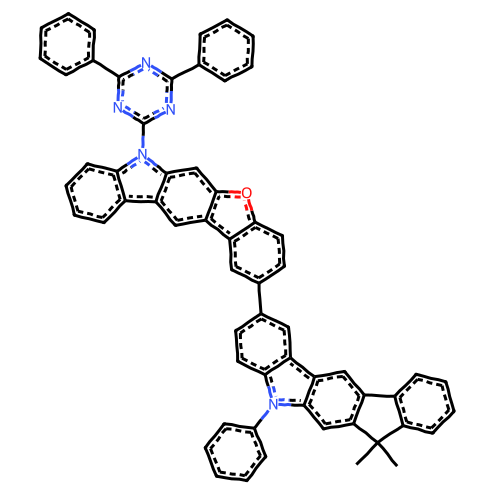 CC1(C)c2ccccc2-c2cc3c4cc(-c5ccc6oc7cc8c(cc7c6c5)c5ccccc5n8-c5nc(-c6ccccc6)nc(-c6ccccc6)n5)ccc4n(-c4ccccc4)c3cc21